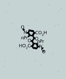 CCCc1c(N=C=O)ccc(C(=O)O)c1C(=O)C(=O)c1c(C(=O)O)ccc(N=C=O)c1CCC